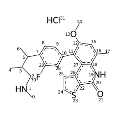 CNCC(C)C(C)c1ccc(-c2c(OC)cc(C)c3[nH]c(=O)c4sccc4c23)cc1F.Cl